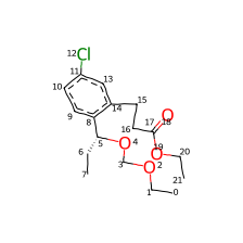 CCOCO[C@H](CC)c1ccc(Cl)cc1CCC(=O)OCC